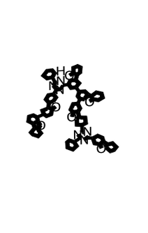 c1ccc(C2=NC(c3ccc4c(c3)oc3ccc(-c5cccc6c5oc5ccccc56)cc34)=NC(c3cc(-c4cc(-c5ccc6oc7cc(-c8nc(-c9ccccc9)nc(-c9ccc%10c(c9)oc9ccccc9%10)n8)ccc7c6c5)c5oc6ccccc6c5c4)cc4c3oc3ccccc34)N2)cc1